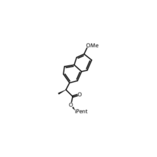 CCC[C@H](C)OC(=O)[C@@H](C)c1ccc2cc(OC)ccc2c1